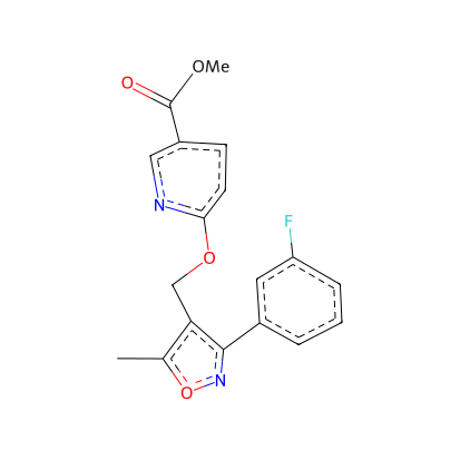 COC(=O)c1ccc(OCc2c(-c3cccc(F)c3)noc2C)nc1